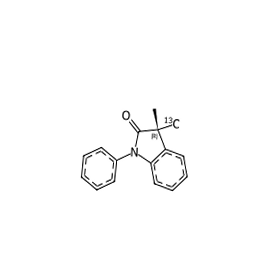 C[C@]1([13CH3])C(=O)N(c2ccccc2)c2ccccc21